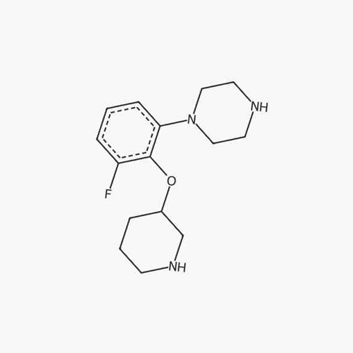 Fc1cccc(N2CCNCC2)c1OC1CCCNC1